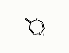 C=C1C=CNC=CS1